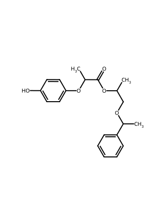 CC(COC(C)c1ccccc1)OC(=O)C(C)Oc1ccc(O)cc1